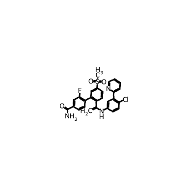 C=C(Nc1ccc(Cl)c(-c2ccccn2)c1)c1ccc(S(C)(=O)=O)cc1-c1ccc(C(N)=O)cc1F